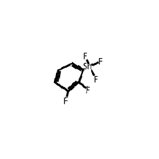 Fc1ccc[c]([Sn]([F])([F])[F])c1F